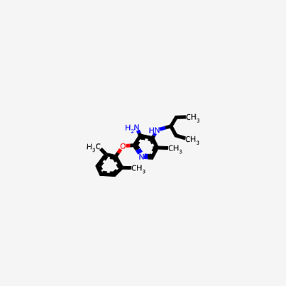 CCC(CC)Nc1c(C)cnc(Oc2c(C)cccc2C)c1N